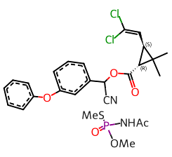 CC1(C)[C@H](C=C(Cl)Cl)[C@H]1C(=O)OC(C#N)c1cccc(Oc2ccccc2)c1.COP(=O)(NC(C)=O)SC